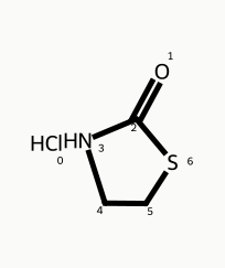 Cl.O=C1NCCS1